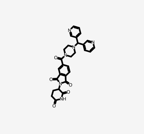 O=C1CCC(N2C(=O)c3ccc(C(=O)N4CCN(C(c5cccnc5)c5cccnc5)CC4)cc3C2=O)C(=O)N1